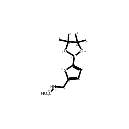 CC1(C)OB(c2ccc(CNC(=O)O)s2)OC1(C)C